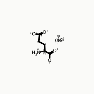 N[C@@H](CCC(=O)[O-])C(=O)[O-].[Ag+].[Cu+2]